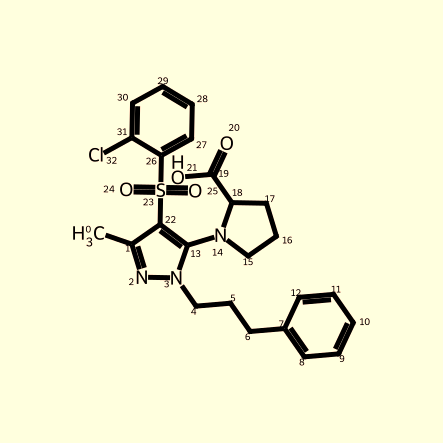 Cc1nn(CCCc2ccccc2)c(N2CCCC2C(=O)O)c1S(=O)(=O)c1ccccc1Cl